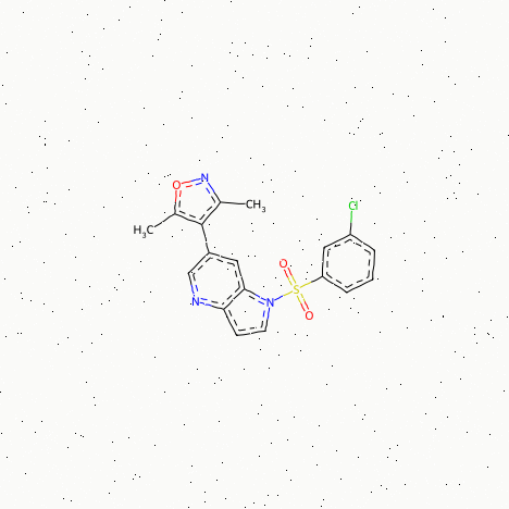 Cc1noc(C)c1-c1cnc2ccn(S(=O)(=O)c3cccc(Cl)c3)c2c1